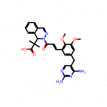 COc1cc(Cc2cnc(N)nc2N)cc(C=CC(=O)N2N=Cc3ccccc3C2C(C)(C)C(=O)O)c1OC